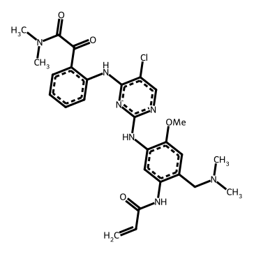 C=CC(=O)Nc1cc(Nc2ncc(Cl)c(Nc3ccccc3C(=O)C(=O)N(C)C)n2)c(OC)cc1CN(C)C